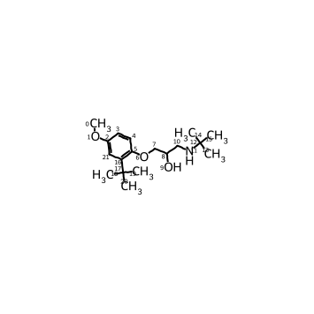 COc1ccc(OCC(O)CNC(C)(C)C)c(C(C)(C)C)c1